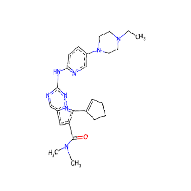 CCN1CCN(c2ccc(Nc3ncc4cc(C(=O)N(C)C)c(C5=CCCC5)n4n3)nc2)CC1